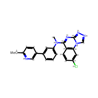 COc1ccc(-c2cccc(N(C)c3nc4nncn4c4cc(Cl)ccc34)c2)cn1